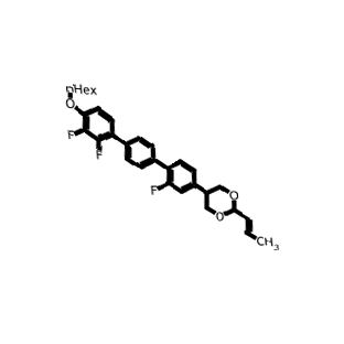 C/C=C/C1OCC(c2ccc(-c3ccc(-c4ccc(OCCCCCC)c(F)c4F)cc3)c(F)c2)CO1